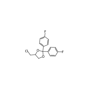 Fc1ccc(C2(c3ccc(F)cc3)OCC(CCl)O2)cc1